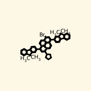 CC1(C)c2ccccc2-c2ccc(-c3cc(Br)c4ccc5c(-c6ccc7c(c6)C(C)(C)c6ccccc6-7)cc(C6CCCC6)c6ccc3c4c56)cc21